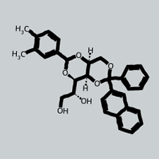 Cc1ccc(C2O[C@H]([C@H](O)CO)[C@@H]3OC(c4ccccc4)(c4ccc5ccccc5c4)OC[C@@H]3O2)cc1C